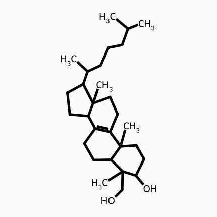 CC(C)CCCC(C)C1CCC2C3=C(CCC21C)C1(C)CCC(O)C(C)(CO)C1CC3